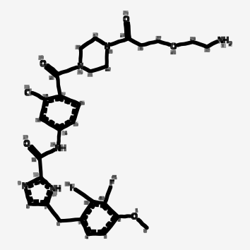 COc1ccc(Cc2cnc(C(=O)Nc3ccc(C(=O)N4CCN(C(=O)CCOCCN)CC4)c(Cl)c3)[nH]2)c(F)c1F